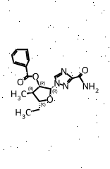 CC[C@H]1O[C@@H](n2cnc(C(N)=O)n2)[C@H](OC(=O)c2ccccc2)[C@@H]1C